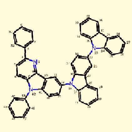 c1ccc(-c2ccc3c(n2)c2cc(-n4c5ccccc5c5cc(-n6c7ccccc7c7ccccc76)ccc54)ccc2n3-c2ccccc2)cc1